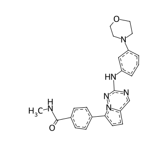 CNC(=O)c1ccc(-c2ccc3cnc(Nc4cccc(N5CCOCC5)c4)nn23)cc1